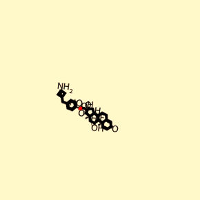 C[C@]12C=CC(=O)C=C1CC[C@H]1[C@@H]3C[C@H]4O[C@H](c5ccc(CC67CC(N)(C6)C7)cc5)O[C@@]4(C(=O)CO)[C@@]3(C)C[C@H](O)[C@@]12F